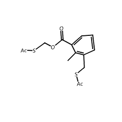 CC(=O)SCOC(=O)c1cccc(CSC(C)=O)c1C